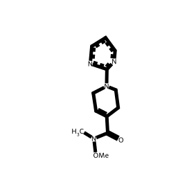 CON(C)C(=O)C1=CCN(c2ncccn2)CC1